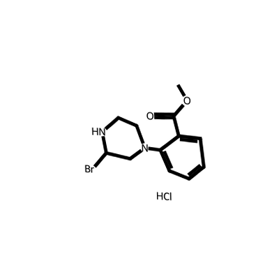 COC(=O)c1ccccc1N1CCNC(Br)C1.Cl